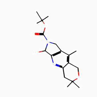 Cc1c2c(nc3c1CN(C(=O)OC(C)(C)C)C3O)CC(C)(C)OC2